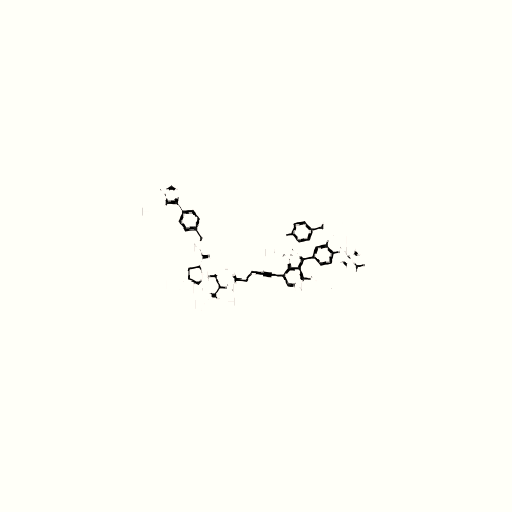 Cc1ncsc1-c1ccc(CNC(=O)[C@@H]2C[C@@H](O)CN2C(=O)C(NC(=O)CCC#Cc2cnc(N)c3c(-c4ccc(NS(=O)(=O)C(F)F)c(OC(C)c5ccc(F)cc5)c4)nn(C)c23)C(C)(C)C)cc1